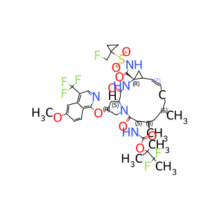 COc1ccc2c(O[C@@H]3C[C@H]4C(=O)N[C@]5(C(=O)NS(=O)(=O)C6(CF)CC6)CC5/C=C\CC[C@H](C)C[C@@H](C)[C@H](NC(=O)OC(C)(C)C(C)(F)F)C(=O)N4C3)ncc(C(F)(F)F)c2c1